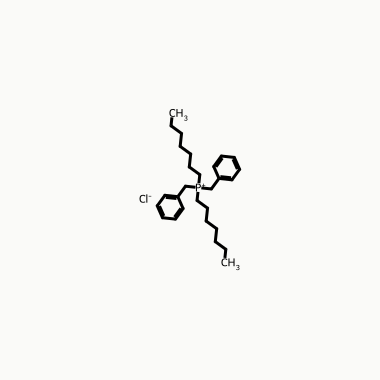 CCCCCCC[P+](CCCCCCC)(Cc1ccccc1)Cc1ccccc1.[Cl-]